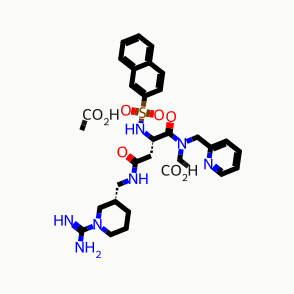 CC(=O)O.N=C(N)N1CCC[C@@H](CNC(=O)C[C@H](NS(=O)(=O)c2ccc3ccccc3c2)C(=O)N(CC(=O)O)Cc2ccccn2)C1